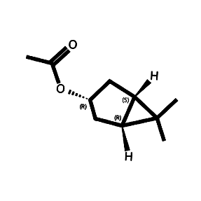 CC(=O)O[C@H]1C[C@@H]2[C@H](C1)C2(C)C